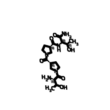 CC(O)[C@H](N)C(=O)N1CC[C@@H](C(=O)N2CC[C@H](C(=O)N[C@H](C(N)=O)[C@@H](C)O)C2)C1